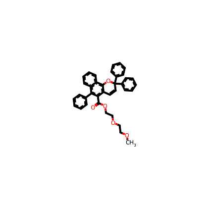 COCCOCCOC(=O)c1c2c(c3ccccc3c1-c1ccccc1)OC(c1ccccc1)(c1ccccc1)C=C2